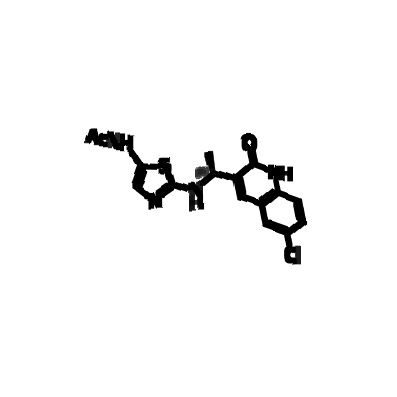 CC(=O)Nc1cnc(N[C@@H](C)c2cc3cc(Cl)ccc3[nH]c2=O)s1